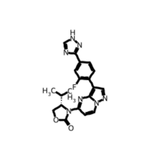 CC(C)[C@H]1COC(=O)N1c1ccn2ncc(-c3ccc(-c4nc[nH]n4)cc3F)c2n1